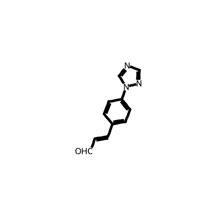 O=C/C=C/c1ccc(-n2cncn2)cc1